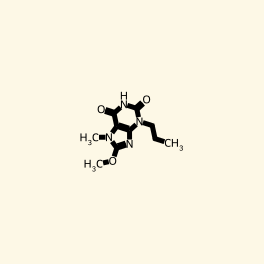 CCCn1c(=O)[nH]c(=O)c2c1nc(OC)n2C